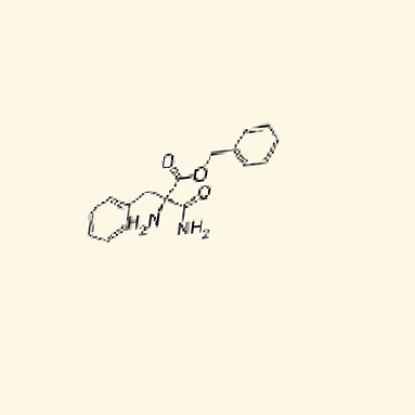 NC(=O)[C@](N)(Cc1ccccc1)C(=O)OCc1ccccc1